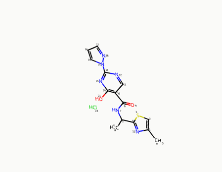 Cc1csc(C(C)NC(=O)c2cnc(-n3cccn3)nc2O)n1.Cl